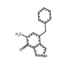 Cn1cc(Cc2ccccc2)c2c[nH]cc2c1=O